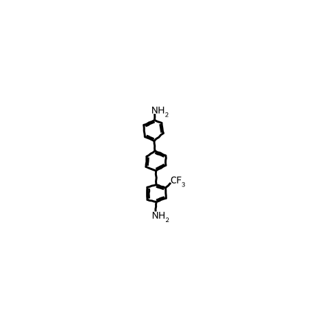 Nc1ccc(-c2ccc(-c3ccc(N)cc3C(F)(F)F)cc2)cc1